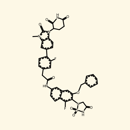 Cn1c(=O)n(C2CCC(=O)NC2=O)c2ccc(-c3ccc(CC(=O)Nc4ccc5c(F)c(N6CC(=O)NS6(=O)=O)c(OCc6ccccc6)cc5c4)cc3F)cc21